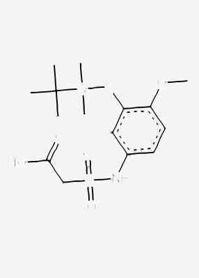 COc1ccc(NS(=O)(=O)CC(=O)O)cc1S[Si](C)(C)C(C)(C)C